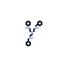 c1ccc(CNCCN(CCNCc2ccccc2)CCNc2ccccc2)cc1